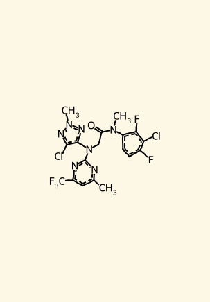 Cc1cc(C(F)(F)F)nc(N(CC(=O)N(C)c2ccc(F)c(Cl)c2F)c2nn(C)nc2Cl)n1